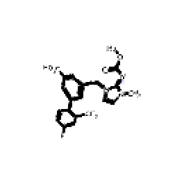 Cn1ccn(Cc2cc(C(=O)O)cc(-c3ccc(F)cc3C(F)(F)F)c2)/c1=N\C(=O)OC(C)(C)C